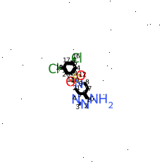 Nc1ncnc2c1CCN(S(=O)(=O)c1cc(Cl)cc(Cl)c1)C2